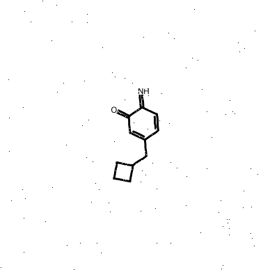 N=C1C=CC(CC2CCC2)=CC1=O